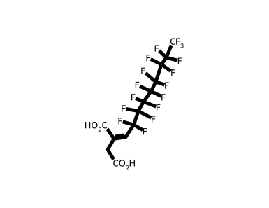 O=C(O)CC(=CC(F)(F)C(F)(F)C(F)(F)C(F)(F)C(F)(F)C(F)(F)C(F)(F)C(F)(F)F)C(=O)O